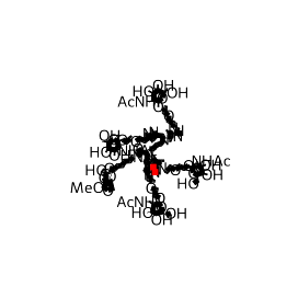 CO[C@H]1OCCC1OP(=O)(O)OCCCCCCNC(=O)[C@H](CCCCN(Cc1cn(CCOCCO[C@@H]2O[C@H](CO)[C@H](O)[C@H](O)[C@H]2NC(C)=O)nn1)Cc1cn(CCOCCO[C@@H]2O[C@H](CO)[C@H](O)[C@H](O)[C@H]2NC(C)=O)nn1)N(Cc1cn(CCOCCO[C@@H]2O[C@H](CO)[C@H](O)[C@H](O)[C@H]2NC(C)=O)nn1)Cc1cn(CCOCCO[C@@H]2O[C@H](CO)[C@H](O)[C@H](O)[C@H]2NC(C)=O)nn1